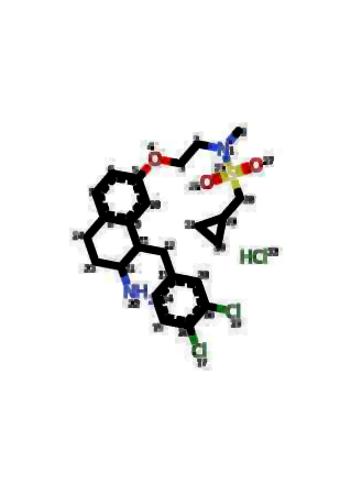 CN(CCOc1ccc2c(c1)C(Cc1ccc(Cl)c(Cl)c1)C(N)CC2)S(=O)(=O)CC1CC1.Cl